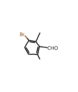 Cc1ccc(Br)c(C)c1C=O